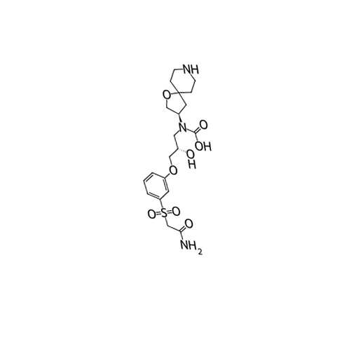 NC(=O)CS(=O)(=O)c1cccc(OC[C@@H](O)CN(C(=O)O)[C@H]2COC3(CCNCC3)C2)c1